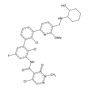 COc1nc(-c2cccc(-c3cc(F)cc(NC(=O)c4c(Cl)cnn(C)c4=O)c3Cl)c2Cl)ccc1CNC1CCCCC1O